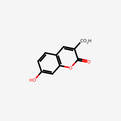 O=C(O)c1cc2ccc(O)cc2oc1=O